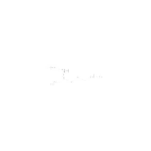 CCCCCCCCC(CCC)NC=O